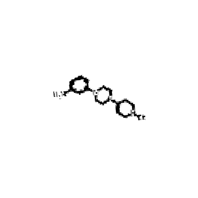 CCN1CC=C(N2CCN(c3cccc(N)c3)CC2)CC1